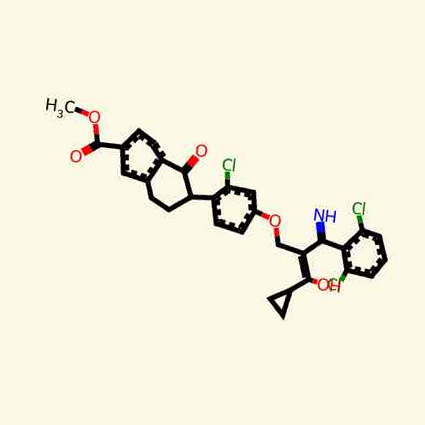 COC(=O)c1ccc2c(c1)CCC(c1ccc(OC/C(C(=N)c3c(Cl)cccc3Cl)=C(/O)C3CC3)cc1Cl)C2=O